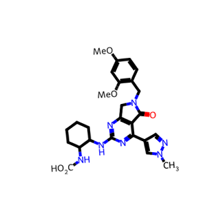 COc1ccc(CN2Cc3nc(NC4CCCCC4NC(=O)O)nc(-c4cnn(C)c4)c3C2=O)c(OC)c1